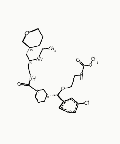 CCN[C@@H](CNC(=O)N1CCC[C@@H](C(OCCNC(=O)OC)c2cccc(Cl)c2)C1)C[C@H]1CCCOC1